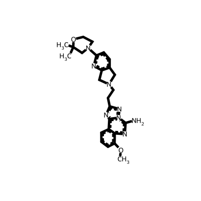 COc1cccc2c1nc(N)n1nc(CCN3Cc4ccc(N5CCOC(C)(C)C5)nc4C3)nc21